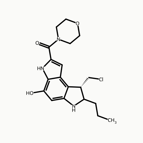 CCCC1Nc2cc(O)c3[nH]c(C(=O)N4CCOCC4)cc3c2[C@@H]1CCl